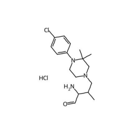 CC(CN1CCN(c2ccc(Cl)cc2)C(C)(C)C1)C(N)C=O.Cl